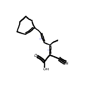 CC(/C=C/C1=CCCCC1)=C(\C#N)C(=O)O